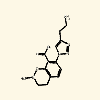 NCCc1cn(-c2ccc3c(c2C(=O)O)OB(O)CC3)nn1